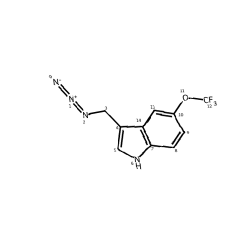 [N-]=[N+]=NCc1c[nH]c2ccc(OC(F)(F)F)cc12